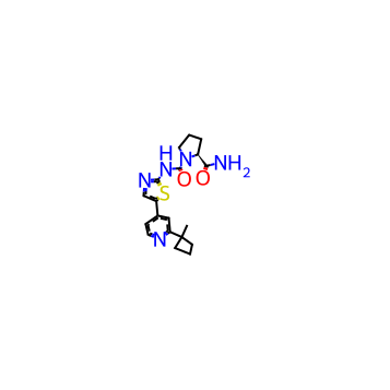 CC1(c2cc(-c3cnc(NC(=O)N4CCC[C@H]4C(N)=O)s3)ccn2)CCC1